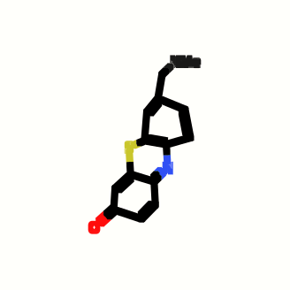 CNCc1ccc2nc3ccc(=O)cc-3sc2c1